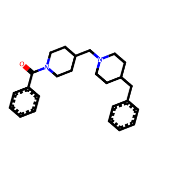 O=C(c1ccccc1)N1CCC(CN2CCC(Cc3ccccc3)CC2)CC1